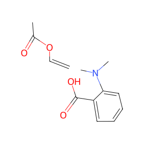 C=COC(C)=O.CN(C)c1ccccc1C(=O)O